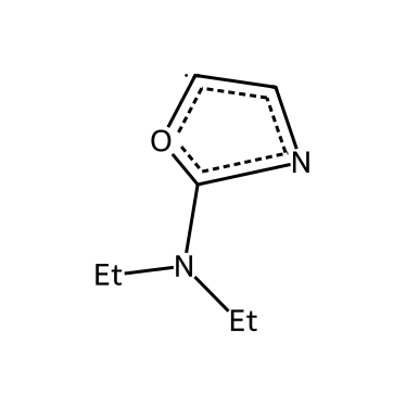 CCN(CC)c1nc[c]o1